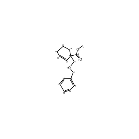 COC(=O)C1(COCc2ccccc2)C=CCCC1